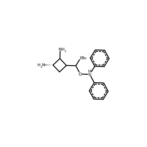 CC(C)(C)C(O[SiH](c1ccccc1)c1ccccc1)C1C[C@H](N)C1N